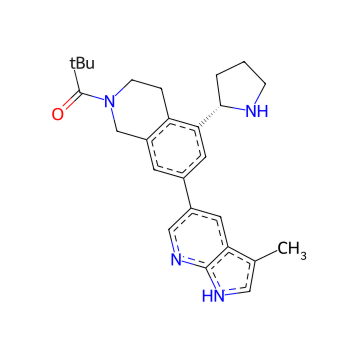 Cc1c[nH]c2ncc(-c3cc4c(c([C@@H]5CCCN5)c3)CCN(C(=O)C(C)(C)C)C4)cc12